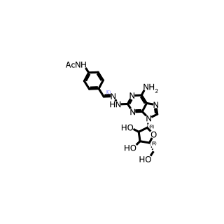 CC(=O)Nc1ccc(/C=N/Nc2nc(N)c3ncn([C@@H]4O[C@H](CO)C(O)C4O)c3n2)cc1